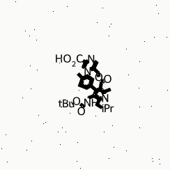 Cc1ccc(-c2c(CNC(=O)OC(C)(C)C)c(CC(C)C)nc(C)c2C(=O)OCc2cnc(C(=O)O)cn2)cc1